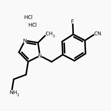 Cc1ncc(CCN)n1Cc1ccc(C#N)c(F)c1.Cl.Cl